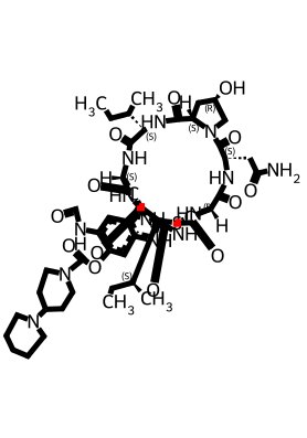 CCC(C)[C@@H]1NC(=O)[C@@H]2C[C@@H](O)CN2C(=O)[C@H](CC(N)=O)NC(=O)[C@@H]2CSc3[nH]c4cc(OC(=O)N5CCC(N6CCCCC6)CC5)c(NC=O)cc4c3C[C@H](NC1=O)C(=O)NCC(=O)N[C@@H]([C@@H](C)CC)C(=O)NCC(=O)N2